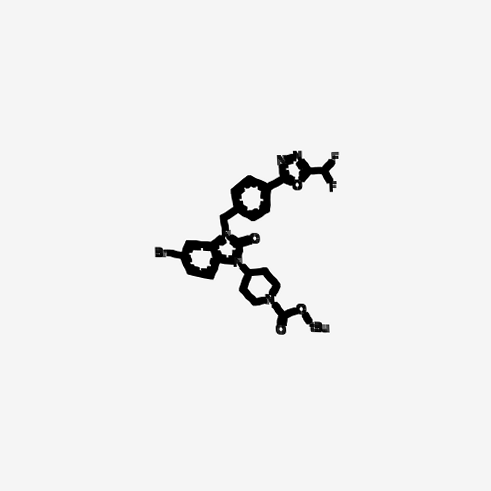 CC(C)(C)OC(=O)N1CCC(n2c(=O)n(Cc3ccc(-c4nnc(C(F)F)o4)cc3)c3cc(Br)ccc32)CC1